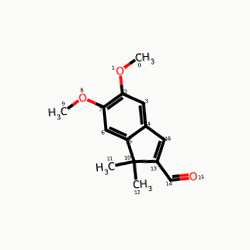 COc1cc2c(cc1OC)C(C)(C)C(C=O)=C2